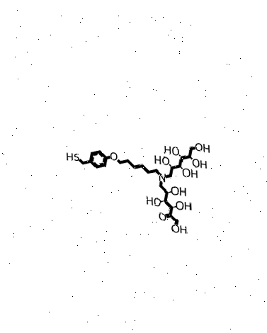 O=C(CO)[C@@H](O)[C@H](O)[C@@H](O)CN(CCCCCCOc1ccc(CS)cc1)C[C@H](O)[C@@H](O)[C@H](O)[C@H](O)CO